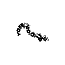 O=C1CCC(c2nn(C3CC3)c3c(C#CCO[C@H]4CCN(C[C@H]5CC[C@H](n6cc(NC(=O)c7cnn8ccc(N9CCC(CC%10CC%10)CC9)nc78)c(C(F)F)n6)CC5)C[C@@H](F)C4S)cccc23)C(=O)N1